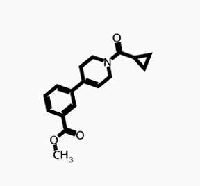 COC(=O)c1cccc(C2=CCN(C(=O)C3CC3)CC2)c1